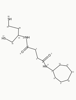 O=C(CCC(=O)NC1CCCCCC1)NC(CS)CCS